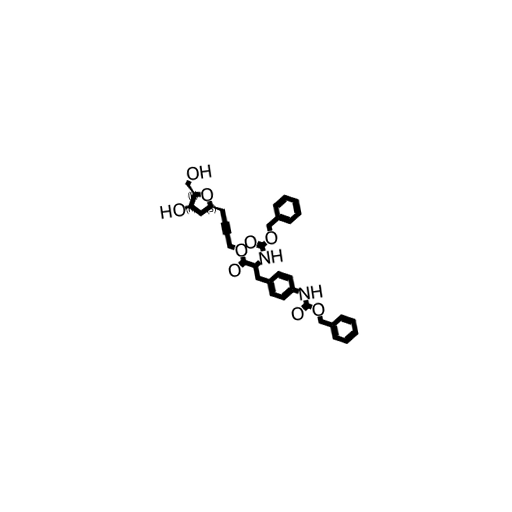 O=C(Nc1ccc(CC(NC(=O)OCc2ccccc2)C(=O)OCC#CC[C@H]2C[C@@H](O)[C@@H](CO)O2)cc1)OCc1ccccc1